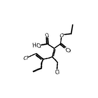 CCOC(=O)C(C(=O)O)=C(CCl)C(=CCl)CC